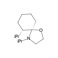 CC(C)[C@@H]1CCCC[C@@]12OCCN2C(C)C